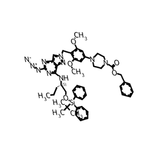 CCC[C@@H](CO[Si](c1ccccc1)(c1ccccc1)C(C)(C)C)Nc1nc(N=[N+]=[N-])nc2cn(Cc3c(OC)cc(N4CCN(C(=O)OCc5ccccc5)CC4)cc3OC)nc12